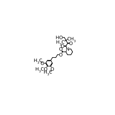 COc1cc(CCCOC(=O)C2CCCCN2C(=O)C(=O)C(C)(C)CO)cc(OC)c1OC